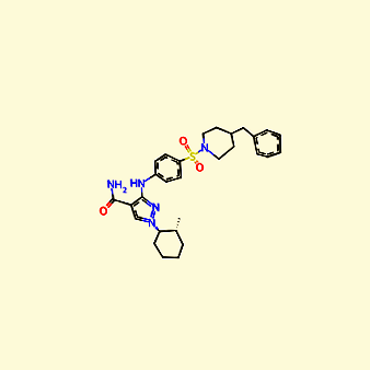 C[C@@H]1CCCC[C@H]1n1cc(C(N)=O)c(Nc2ccc(S(=O)(=O)N3CCC(Cc4ccccc4)CC3)cc2)n1